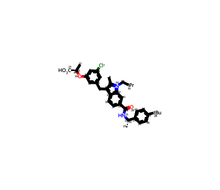 Cc1c(Cc2cc(Cl)cc(O[C@H](C)C(=O)O)c2)c2ccc(C(=O)N[C@@H](C)c3ccc(C(C)(C)C)cc3)cc2n1CC(C)C